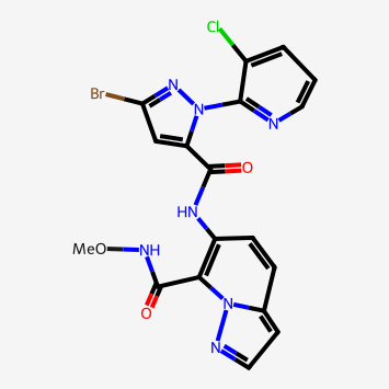 CONC(=O)c1c(NC(=O)c2cc(Br)nn2-c2ncccc2Cl)ccc2ccnn12